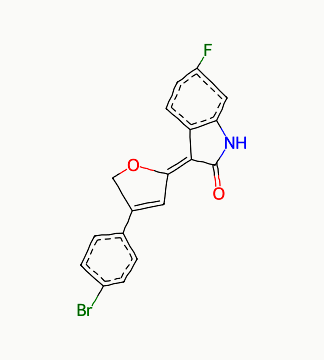 O=C1Nc2cc(F)ccc2C1=C1C=C(c2ccc(Br)cc2)CO1